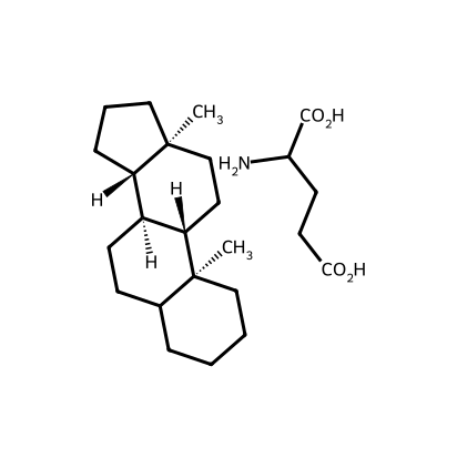 C[C@@]12CCC[C@H]1[C@@H]1CCC3CCCC[C@]3(C)[C@H]1CC2.NC(CCC(=O)O)C(=O)O